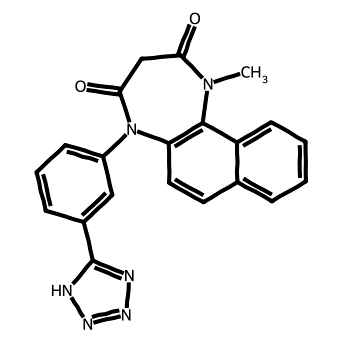 CN1C(=O)CC(=O)N(c2cccc(-c3nnn[nH]3)c2)c2ccc3ccccc3c21